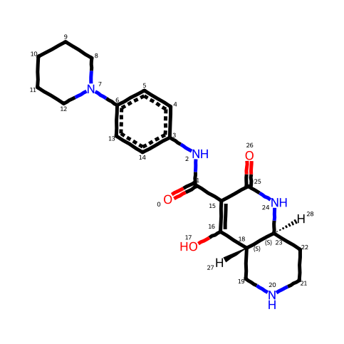 O=C(Nc1ccc(N2CCCCC2)cc1)C1=C(O)[C@H]2CNCC[C@@H]2NC1=O